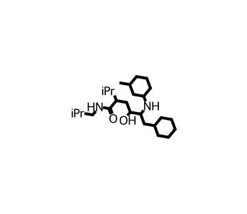 CC(C)CNC(=O)C(CC(O)C(CC1CCCCC1)NC1CCCC(C)C1)C(C)C